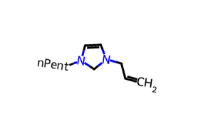 C=CCN1C=CN(CCCCC)C1